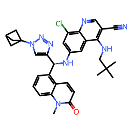 Cn1c(=O)ccc2c([C@H](Nc3cc(Cl)c4ncc(C#N)c(NCC(C)(C)C)c4c3)c3cn(C45CC(C4)C5)nn3)cccc21